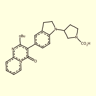 CCCCc1nc2ccccn2c(=O)c1-c1ccc2c(c1)CCN2C1CCN(C(=O)O)C1